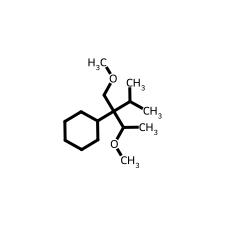 COCC(C(C)C)(C1CCCCC1)C(C)OC